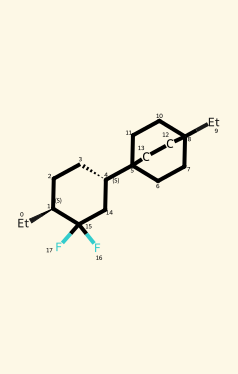 CC[C@H]1CC[C@H](C23CCC(CC)(CC2)CC3)CC1(F)F